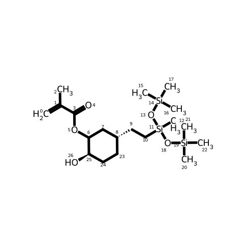 C=C(C)C(=O)OC1C[C@H](CC[Si](C)(O[Si](C)(C)C)O[Si](C)(C)C)CC[C@H]1O